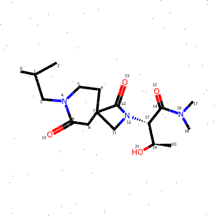 CC(C)CN1CCC2(CC1=O)CN([C@H](C(=O)N(C)C)[C@@H](C)O)C2=O